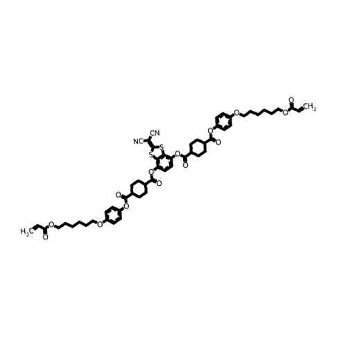 C=CC(=O)OCCCCCCOc1ccc(OC(=O)C2CCC(C(=O)Oc3ccc(OC(=O)C4CCC(C(=O)Oc5ccc(OCCCCCCOC(=O)C=C)cc5)CC4)c4c3SC(=C(C#N)C#N)S4)CC2)cc1